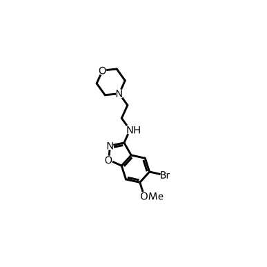 COc1cc2onc(NCCN3CCOCC3)c2cc1Br